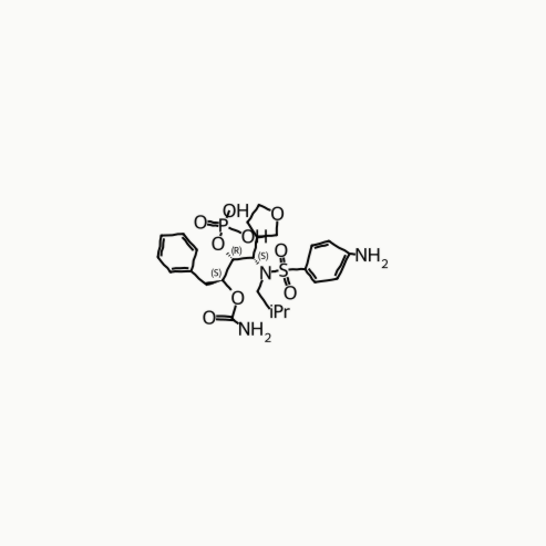 CC(C)CN([C@@H](C1CCOC1)[C@@H](OP(=O)(O)O)[C@H](Cc1ccccc1)OC(N)=O)S(=O)(=O)c1ccc(N)cc1